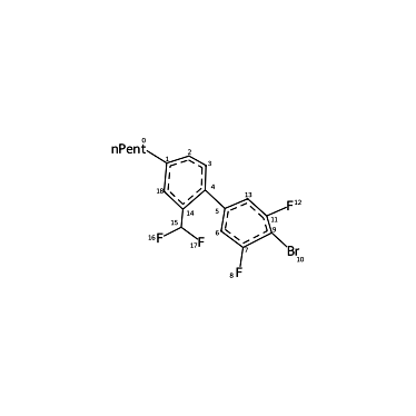 CCCCCc1ccc(-c2cc(F)c(Br)c(F)c2)c(C(F)F)c1